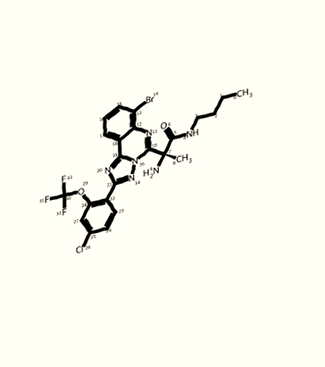 CCCCNC(=O)[C@](C)(N)c1nc2c(Br)cccc2c2nc(-c3ccc(Cl)cc3OC(F)(F)F)nn12